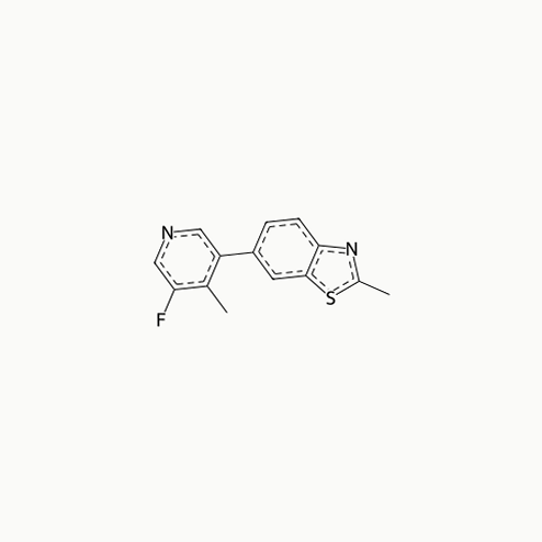 Cc1nc2ccc(-c3cncc(F)c3C)cc2s1